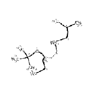 CC(C)CNC[C@H](CS)OC(C)(C)C